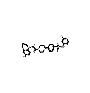 C[C@@H](C(=O)N1CCN(c2ccc(S(=O)(=O)Nc3ccnc(Cl)c3)cc2)CC1)N1CCCc2cc(Cl)ccc21